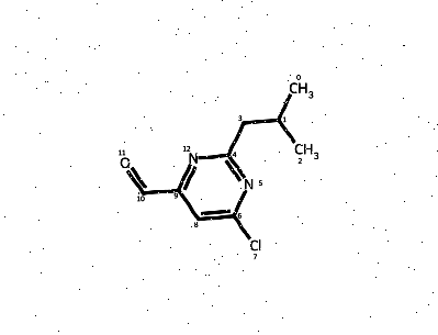 CC(C)Cc1nc(Cl)cc([C]=O)n1